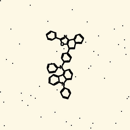 c1ccc(-c2nc3c(o2)c(-c2ccc(N(c4ccccc4)c4cccc5c4c4ccccc4n5-c4ccccc4)cc2)cc2ccccc23)cc1